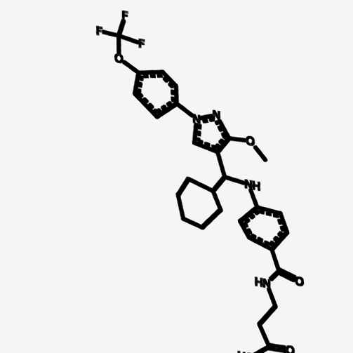 COc1nn(-c2ccc(OC(F)(F)F)cc2)cc1C(Nc1ccc(C(=O)NCCC(=O)O)cc1)C1CCCCC1